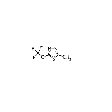 Cc1nnc(OC(F)(F)F)s1